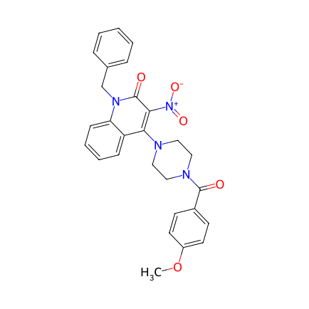 COc1ccc(C(=O)N2CCN(c3c([N+](=O)[O-])c(=O)n(Cc4ccccc4)c4ccccc34)CC2)cc1